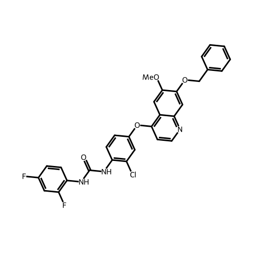 COc1cc2c(Oc3ccc(NC(=O)Nc4ccc(F)cc4F)c(Cl)c3)ccnc2cc1OCc1ccccc1